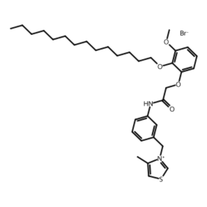 CCCCCCCCCCCCCCOc1c(OC)cccc1OCC(=O)Nc1cccc(C[n+]2cscc2C)c1.[Br-]